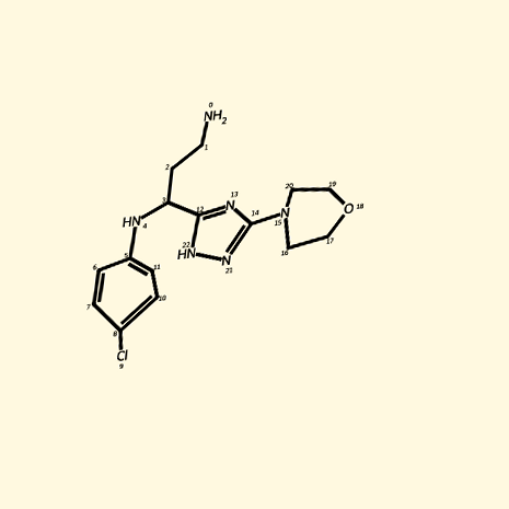 NCCC(Nc1ccc(Cl)cc1)c1nc(N2CCOCC2)n[nH]1